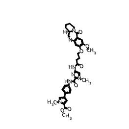 COC(=O)c1cc(-c2ccc(NC(=O)c3nc(NC(=O)CCCOc4cc5c(cc4OC)C(=O)N4CCCC[C@H]4C=N5)cn3C)cc2)cn1C